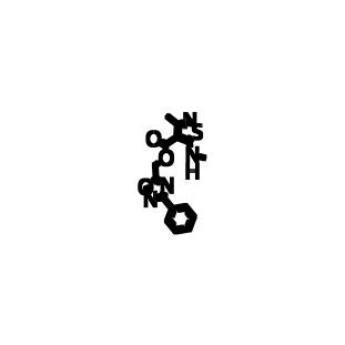 CNc1snc(C)c1C(=O)OCc1nc(-c2ccccc2)no1